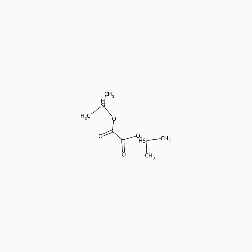 C[SiH](C)OC(=O)C(=O)O[SiH](C)C